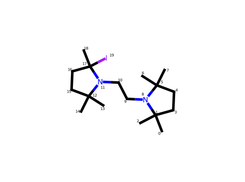 CC1(C)CCC(C)(C)N1CCN1C(C)(C)CCC1(C)I